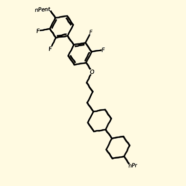 CCCCCc1ccc(-c2ccc(OCCCC3CCC(C4CCC(CCC)CC4)CC3)c(F)c2F)c(F)c1F